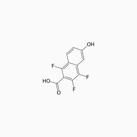 O=C(O)c1c(F)c(F)c2cc(O)ccc2c1F